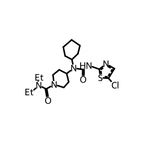 CCN(CC)C(=O)N1CCC(N(C(=O)Nc2ncc(Cl)s2)C2CCCCC2)CC1